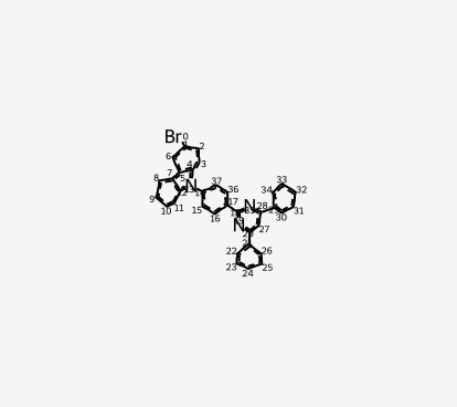 Brc1ccc2c(c1)c1ccccc1n2-c1ccc(-c2nc(-c3ccccc3)cc(-c3ccccc3)n2)cc1